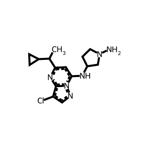 CC(c1cc(NC2CCN(N)C2)n2ncc(Cl)c2n1)C1CC1